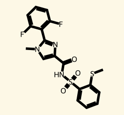 CSc1ccccc1S(=O)(=O)NC(=O)c1cn(C)c(-c2c(F)cccc2F)n1